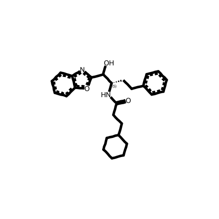 O=C(CCC1CCCCC1)N[C@@H](CCc1ccccc1)C(O)c1nc2ccccc2o1